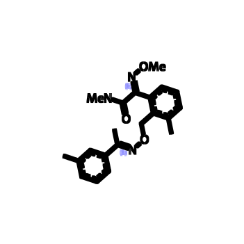 CNC(=O)/C(=N/OC)c1cccc(C)c1CO/N=C(\C)c1cccc(C)c1